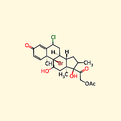 CC(=O)OCC(=O)[C@@]1(O)C(C)C[C@H]2[C@@H]3CC(Cl)C4=CC(=O)C=C[C@]4(C)[C@@]3(Br)C(O)C[C@@]21C